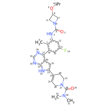 Cc1c(NC(=O)N2CC(OC(C)C)C2)cc(F)cc1-c1ncnc2[nH]c(C3=CCN(C(=O)N(C)C)CC3)cc12